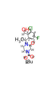 C[C@@H](c1cc(F)cc(Cl)c1CO)N1CCN(C(=O)OC(C)(C)C)CC1=O